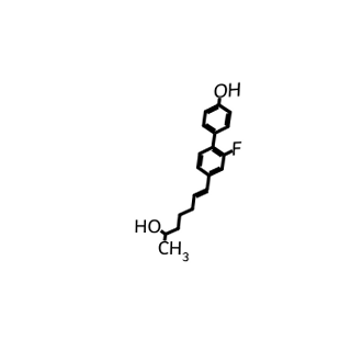 CC(O)CCCC=Cc1ccc(-c2ccc(O)cc2)c(F)c1